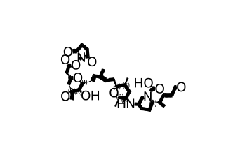 CC(C=C[C@H]1O[C@H](CC(=O)ON2C(=O)CCC2=O)C[C@@]2(CO2)[C@@H]1O)=CC[C@@H]1O[C@H](C)[C@H](NC2CC[C@@H](C(C)C=CC=O)N(C(=O)O)C2)C[C@@H]1C